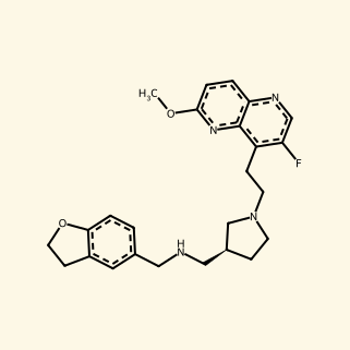 COc1ccc2ncc(F)c(CCN3CC[C@@H](CNCc4ccc5c(c4)CCO5)C3)c2n1